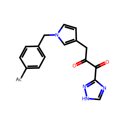 CC(=O)c1ccc(Cn2ccc(CC(=O)C(=O)c3nc[nH]n3)c2)cc1